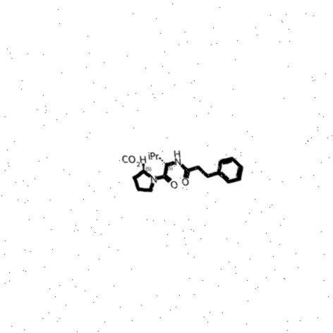 CC(C)[C@H](NC(=O)CCc1ccccc1)C(=O)N1CCC[C@H]1C(=O)O